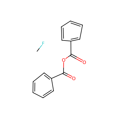 CF.O=C(OC(=O)c1ccccc1)c1ccccc1